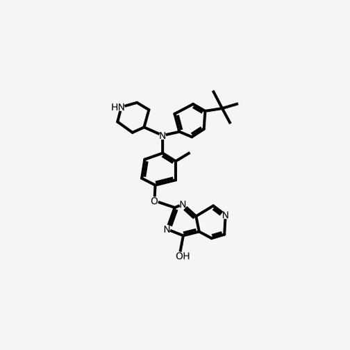 Cc1cc(Oc2nc(O)c3ccncc3n2)ccc1N(c1ccc(C(C)(C)C)cc1)C1CCNCC1